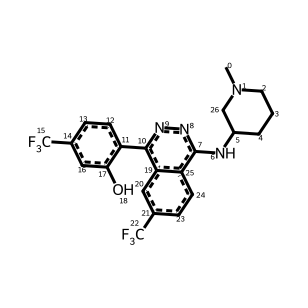 CN1CCCC(Nc2nnc(-c3ccc(C(F)(F)F)cc3O)c3cc(C(F)(F)F)ccc23)C1